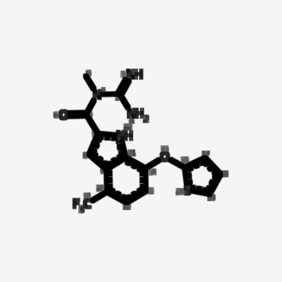 CN(C(=N)N)C(=O)c1cc2c(C(F)(F)F)ccc(Oc3cccs3)c2[nH]1